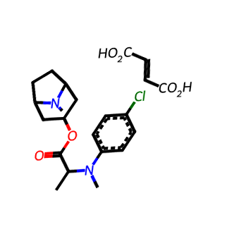 CC(C(=O)OC1CC2CCC(C1)N2C)N(C)c1ccc(Cl)cc1.O=C(O)C=CC(=O)O